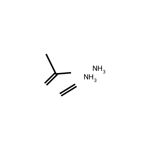 C=C.C=C(C)C.N.N